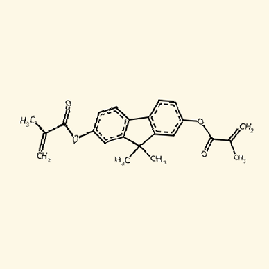 C=C(C)C(=O)Oc1ccc2c(c1)C(C)(C)c1cc(OC(=O)C(=C)C)ccc1-2